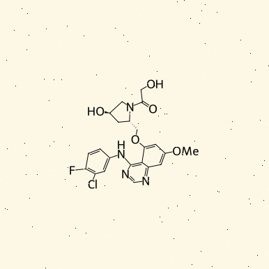 COc1cc(OC[C@@H]2C[C@@H](O)CN2C(=O)CO)c2c(Nc3ccc(F)c(Cl)c3)ncnc2c1